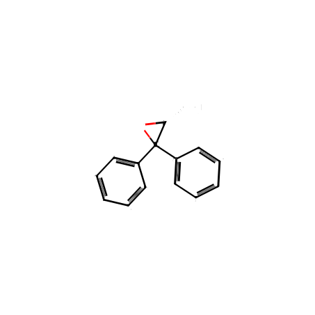 O=C(O)[C@H]1OC1(c1ccccc1)c1ccccc1